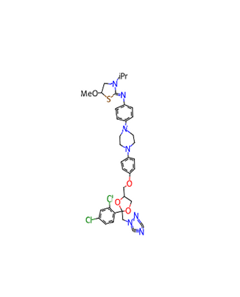 COC1CN(C(C)C)/C(=N/c2ccc(N3CCN(c4ccc(OCC5COC(Cn6cncn6)(c6ccc(Cl)cc6Cl)O5)cc4)CC3)cc2)S1